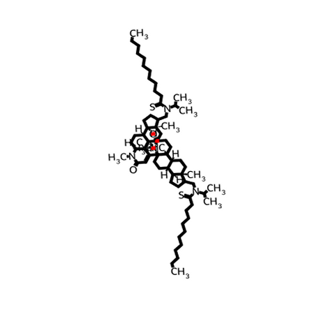 CCCCCCCCCCCC(=S)N(CC1CC[C@H]2[C@@H]3CCC4N(C)C(=O)C=C(C56CC[C@@H]7[C@@H](CC[C@]8(C)C(CN(C(=S)CCCCCCCCCCC)C(C)C)CC[C@@H]78)[C@@]5(C)CCC(=O)N6C)[C@]4(C)[C@@H]3CC[C@]12C)C(C)C